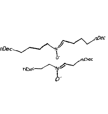 CCCCCCCCCCCC=[N+]([O-])CCCCCCCCCCCC.CCCCCCCCCCCCCC=[N+]([O-])CCCCCCCCCCCCCC